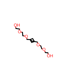 OCCOCCOCC12CC(COCCOCCO)(C1)C2